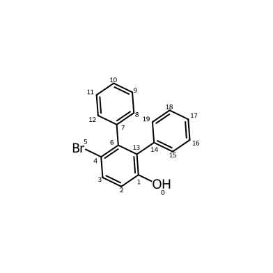 Oc1ccc(Br)c(-c2ccccc2)c1-c1ccccc1